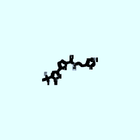 Cn1nc(-c2ccc(C(=O)NCCc3c[nH]cn3)s2)cc1C(C)(F)F